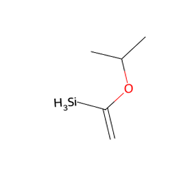 C=C([SiH3])OC(C)C